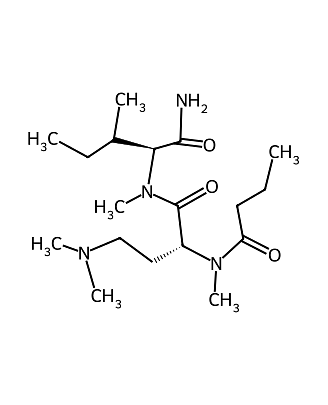 CCCC(=O)N(C)[C@H](CCN(C)C)C(=O)N(C)[C@H](C(N)=O)C(C)CC